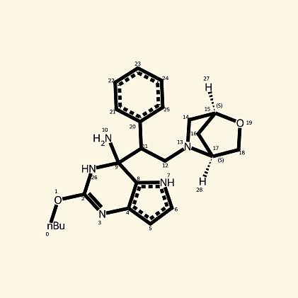 CCCCOC1=Nc2cc[nH]c2C(N)(C(CN2C[C@@H]3C[C@H]2CO3)c2ccccc2)N1